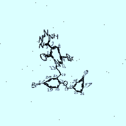 O=c1c(-c2nnn[nH]2)cc(Br)cn1CCc1cc(Br)ccc1OCc1ccccc1